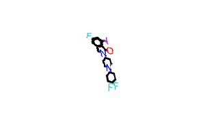 O=C1c2c(I)cc(F)cc2CN1C1CCN(C2CCC(F)(F)CC2)CC1